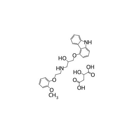 COc1ccccc1OCCNCC(O)COc1cccc2[nH]c3ccccc3c12.O=C(O)CC(O)C(=O)O